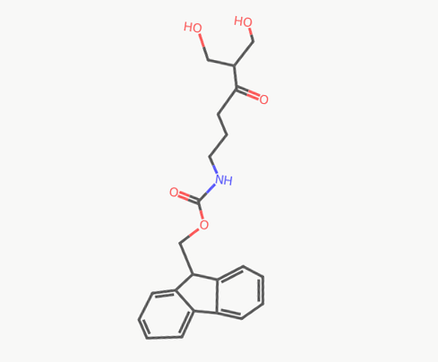 O=C(NCCCC(=O)C(CO)CO)OCC1c2ccccc2-c2ccccc21